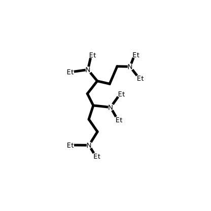 CCN(CC)CCC(CC(CCN(CC)CC)N(CC)CC)N(CC)CC